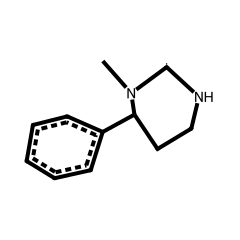 CN1[CH]NCCC1c1ccccc1